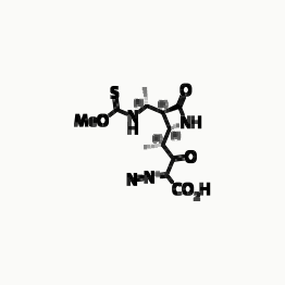 COC(=S)N[C@H](C)[C@H]1C(=O)N[C@@H]1[C@@H](C)C(=O)C(=[N+]=[N-])C(=O)O